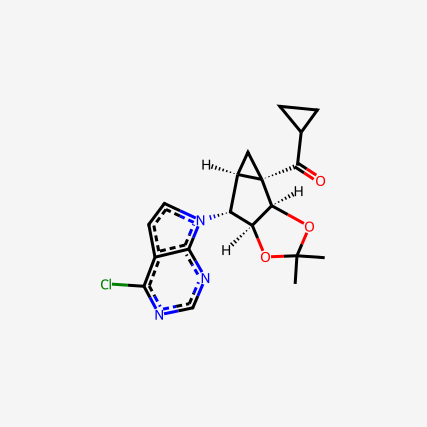 CC1(C)O[C@H]2[C@H](n3ccc4c(Cl)ncnc43)[C@H]3C[C@@]3(C(=O)C3CC3)[C@H]2O1